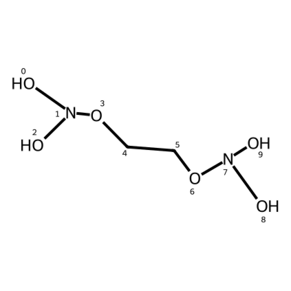 ON(O)OCCON(O)O